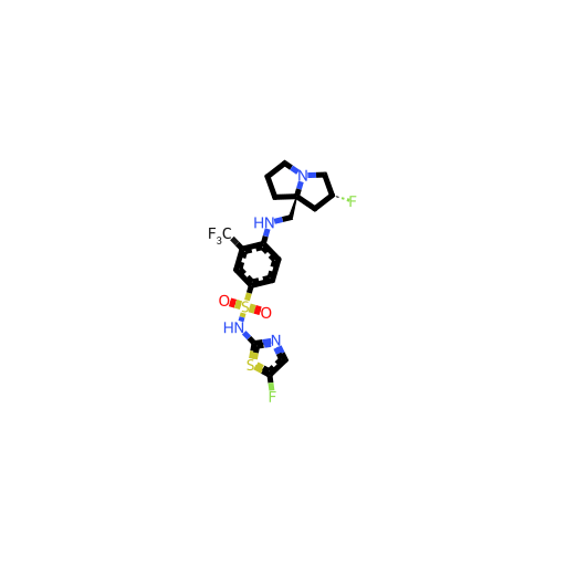 O=S(=O)(Nc1ncc(F)s1)c1ccc(NC[C@@]23CCCN2C[C@H](F)C3)c(C(F)(F)F)c1